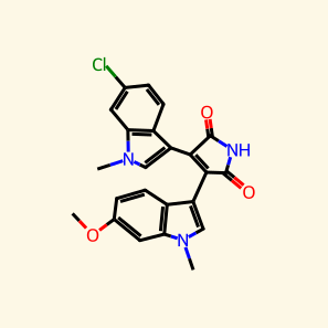 COc1ccc2c(C3=C(c4cn(C)c5cc(Cl)ccc45)C(=O)NC3=O)cn(C)c2c1